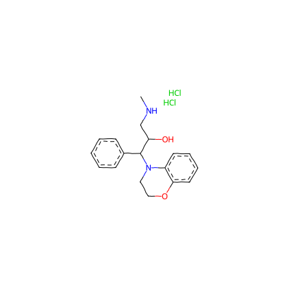 CNCC(O)C(c1ccccc1)N1CCOc2ccccc21.Cl.Cl